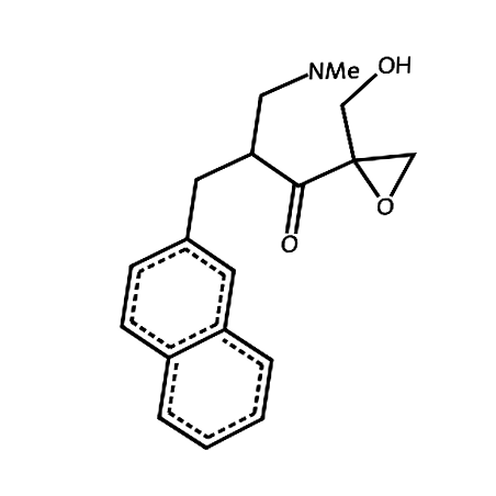 CNCC(Cc1ccc2ccccc2c1)C(=O)C1(CO)CO1